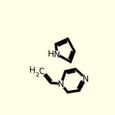 C=CN1C=CN=CC1.c1cc[nH]c1